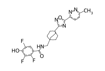 Cc1ccc(-c2nc(C34CCC(CNC(=O)c5cc(F)c(O)c(F)c5F)(CC3)CC4)no2)nn1